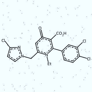 CCn1c(Cn2ccc(Cl)n2)cc(=O)c(C(=O)O)c1-c1ccc(Cl)c(Cl)c1